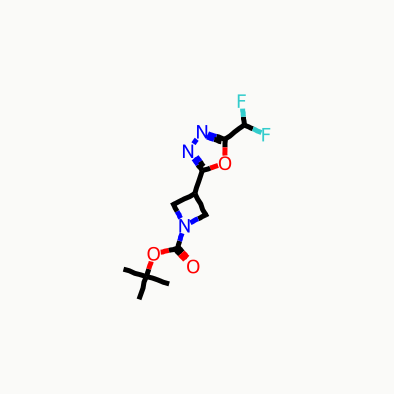 CC(C)(C)OC(=O)N1CC(c2nnc(C(F)F)o2)C1